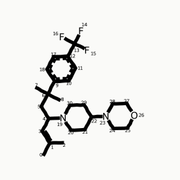 CC(C)=CC(CC(C)(C)c1ccc(C(F)(F)F)cc1)N1CCC(N2CCOCC2)CC1